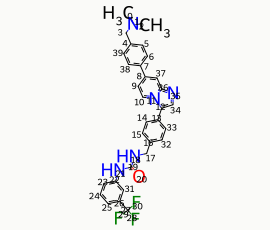 CN(C)Cc1ccc(-c2ccn3c(-c4ccc(CNC(=O)Nc5cccc(C(F)(F)F)c5)cc4)cnc3c2)cc1